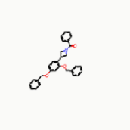 O=C(c1ccccc1)N1CC(c2ccc(OCc3ccccc3)cc2OCc2ccccc2)C1